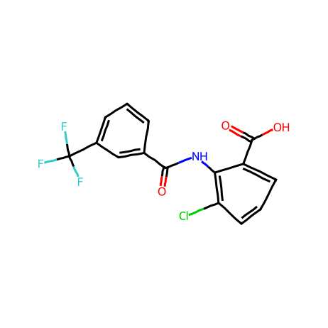 O=C(Nc1c(Cl)cccc1C(=O)O)c1cccc(C(F)(F)F)c1